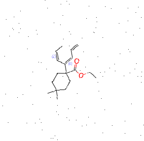 C=C/C=C(\C=C/C)C1(C(=O)OCC)CCC(C)(C)CC1